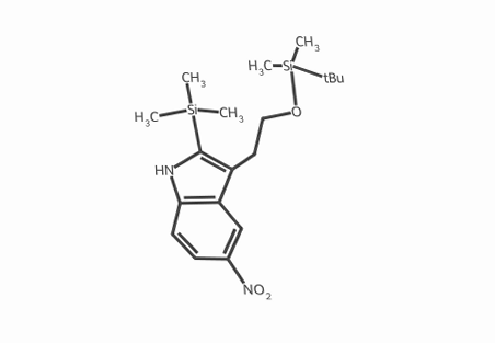 CC(C)(C)[Si](C)(C)OCCc1c([Si](C)(C)C)[nH]c2ccc([N+](=O)[O-])cc12